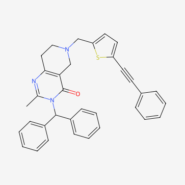 Cc1nc2c(c(=O)n1C(c1ccccc1)c1ccccc1)CN(Cc1ccc(C#Cc3ccccc3)s1)CC2